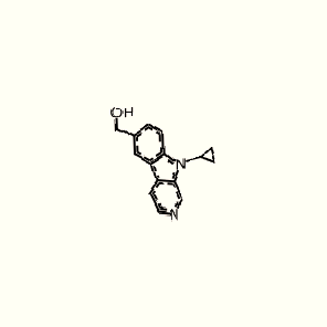 OCc1ccc2c(c1)c1ccncc1n2C1CC1